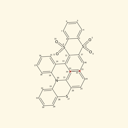 O=S1(=O)c2ccccc2S(=O)(=O)c2c(-c3ccccc3N3c4ccccc4Sc4ccccc43)cccc21